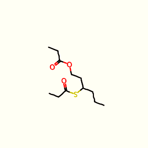 CCCC(CCOC(=O)CC)SC(=O)CC